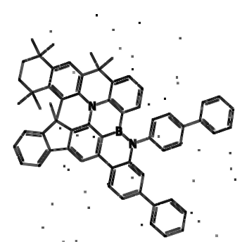 CC1(C)CCC(C)(C)c2c1cc1c3c2C2(C)c4ccccc4-c4cc5c6c(c42)N3c2c(cccc2C1(C)C)B6N(c1ccc(-c2ccccc2)cc1)c1cc(-c2ccccc2)ccc1-5